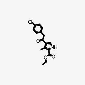 CCOC(=O)c1[nH]cc(C(=O)Cc2ccc(Cl)cc2)c1C